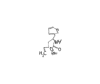 C=CCCC(NC(=O)OC(C)(C)C)c1cccnc1